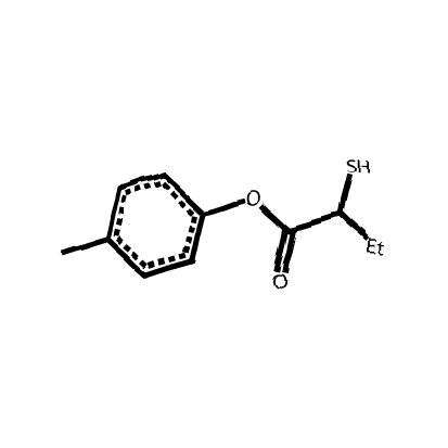 CCC(S)C(=O)Oc1ccc(C)cc1